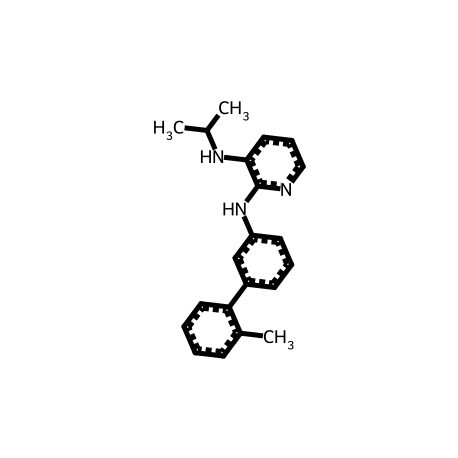 Cc1ccccc1-c1cccc(Nc2ncccc2NC(C)C)c1